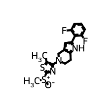 Cc1sc([S+](C)[O-])nc1N1CCc2[nH]c(-c3c(F)cccc3F)cc2C1